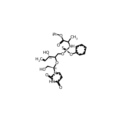 C=C[C@H](O)C(COP(=S)(NC(C)C(=O)OC(C)C)Oc1ccccc1)O[C@H](CO)n1ccc(=O)[nH]c1=O